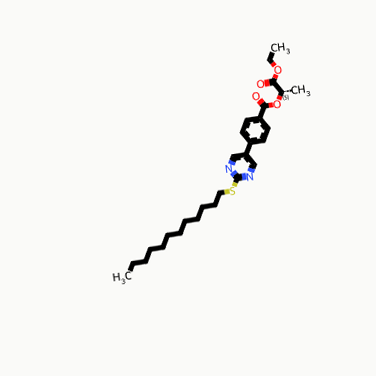 CCCCCCCCCCCCSc1ncc(-c2ccc(C(=O)O[C@@H](C)C(=O)OCC)cc2)cn1